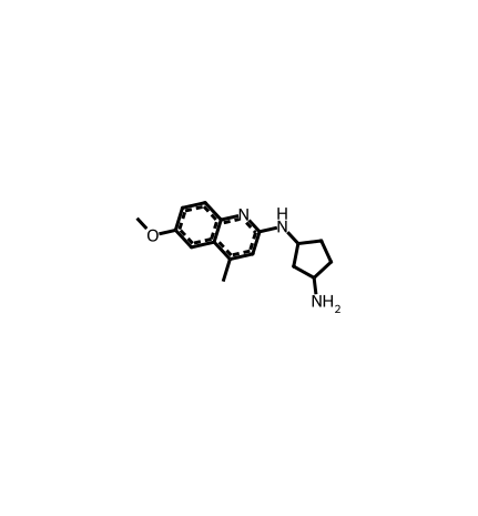 COc1ccc2nc(NC3CCC(N)C3)cc(C)c2c1